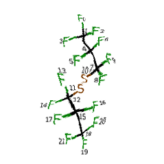 FC(F)(F)C(F)(F)C(F)(F)SSC(F)(F)C(F)(F)C(F)(F)F